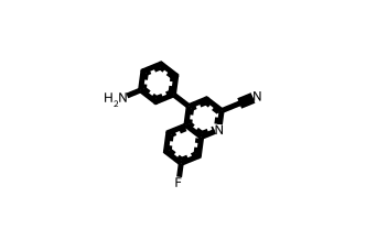 N#Cc1cc(-c2cccc(N)c2)c2ccc(F)cc2n1